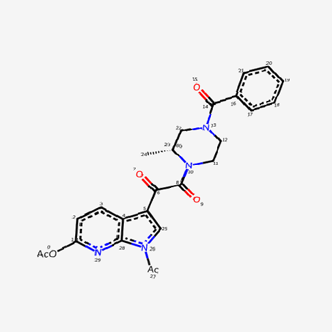 CC(=O)Oc1ccc2c(C(=O)C(=O)N3CCN(C(=O)c4ccccc4)C[C@H]3C)cn(C(C)=O)c2n1